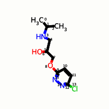 CC(C)NCC(O)COc1ccc(Cl)nn1